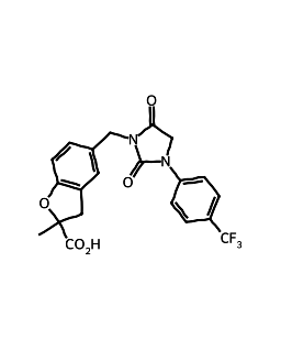 CC1(C(=O)O)Cc2cc(CN3C(=O)CN(c4ccc(C(F)(F)F)cc4)C3=O)ccc2O1